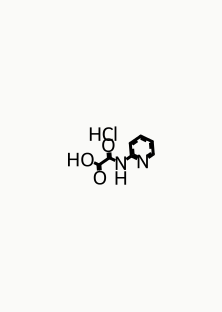 Cl.O=C(O)C(=O)Nc1ccccn1